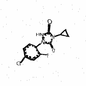 O=c1[nH]n(-c2ccc(Cl)cc2F)c(=O)n1C1CC1